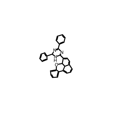 C1=CC2=CC=C(C3=NC(c4ccccc4)=NC(c4ccccc4)N3)C3Oc4ccccc4C(=C1)C23